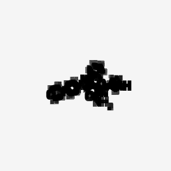 NC(=O)c1nc(-c2cn[nH]c2)oc1-c1cn(C2CCC(N3CCOCC3)CC2)nc1-c1ncccn1